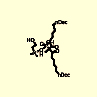 CCCCCCCCCCCCCCCC(=O)C(C)(C(=O)CCCCCCCCCCCCCCC)P(=O)(O)O.C[N+](C)(C)CCO